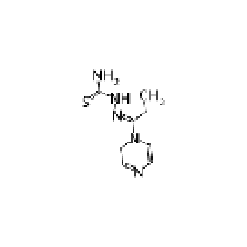 CCC(=NNC(N)=S)N1C=CN=CC1